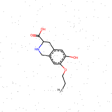 CCCOc1cc2c(cc1O)CC(C(=O)O)NC2